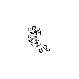 CCOC(=O)C=C(C)c1ccc(CC(C)NC(C)=O)cc1